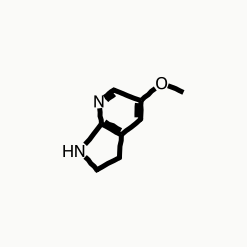 COc1cnc2c(c1)CCN2